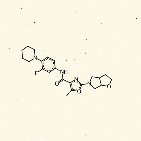 Cc1oc(N2CC3CCOC3C2)nc1C(=O)Nc1ccc(N2CCCCC2)c(F)c1